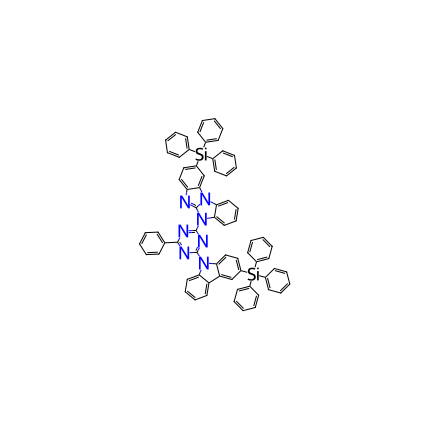 c1ccc(-c2nc(-n3c4ccccc4c4cc([Si](c5ccccc5)(c5ccccc5)c5ccccc5)ccc43)nc(-n3c4ccccc4n4c5cc([Si](c6ccccc6)(c6ccccc6)c6ccccc6)ccc5nc34)n2)cc1